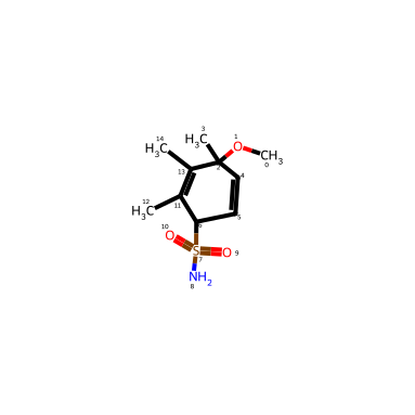 COC1(C)C=CC(S(N)(=O)=O)C(C)=C1C